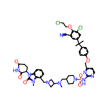 CN(CC1CCN(S(=O)(=O)Nc2nccc(COc3ccc(C(C)(C)c4cc(Cl)c(OCCCl)c(C#N)c4)cc3)n2)CC1)C1CN(Cc2cccc3c2n(C)c(=O)n3C2CCC(=O)NC2=O)C1